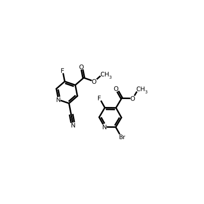 COC(=O)c1cc(Br)ncc1F.COC(=O)c1cc(C#N)ncc1F